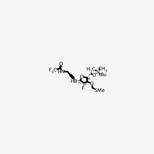 CSCOC1[C@@H](CO[Si](C)(C)C(C)(C)C)O[C@@H](BC#CCNC(=O)C(F)(F)F)[C@H]1F